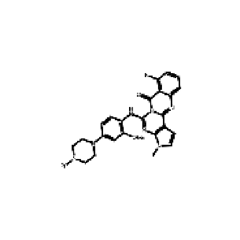 COc1cc(N2CCN(C(C)C)CC2)ccc1Nc1nc2c(ccn2C)c2nc3cccc(F)c3c(=O)n12